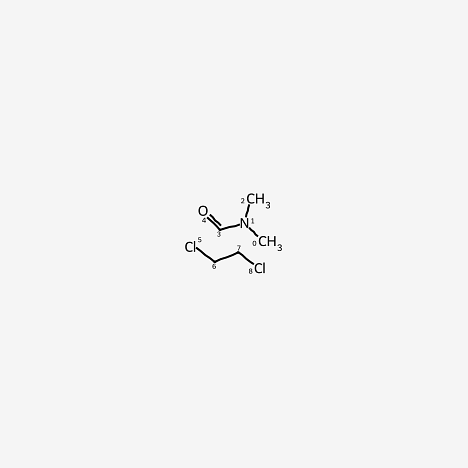 CN(C)C=O.ClCCCl